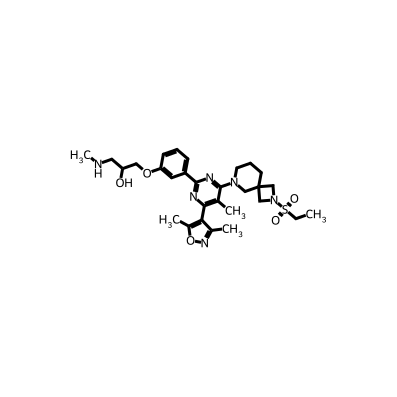 CCS(=O)(=O)N1CC2(CCCN(c3nc(-c4cccc(OCC(O)CNC)c4)nc(-c4c(C)noc4C)c3C)C2)C1